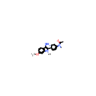 CCC(=O)N(C)c1ccc(-c2c(N)c3ccc(OC(F)(F)F)cc3n2CC)cc1